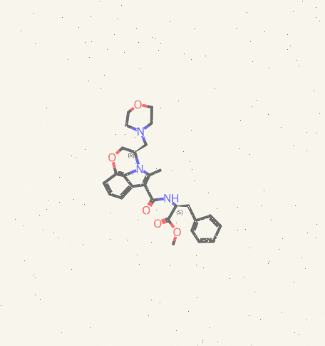 COC(=O)[C@H](Cc1ccccc1)NC(=O)c1c(C)n2c3c(cccc13)OC[C@H]2CN1CCOCC1